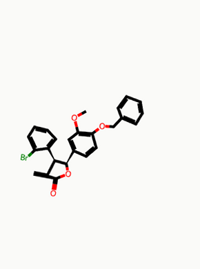 C=C1C(=O)O[C@H](c2ccc(OCc3ccccc3)c(OC)c2)[C@@H]1c1ccccc1Br